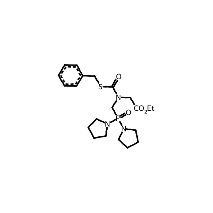 CCOC(=O)CN(CP(=O)(N1CCCC1)N1CCCC1)C(=O)SCc1ccccc1